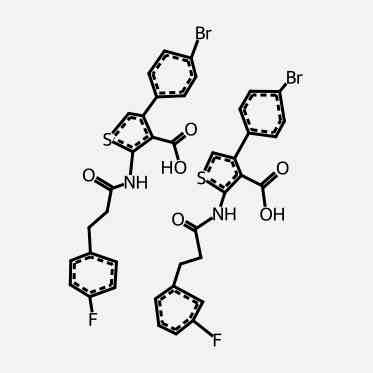 O=C(CCc1ccc(F)cc1)Nc1scc(-c2ccc(Br)cc2)c1C(=O)O.O=C(CCc1cccc(F)c1)Nc1scc(-c2ccc(Br)cc2)c1C(=O)O